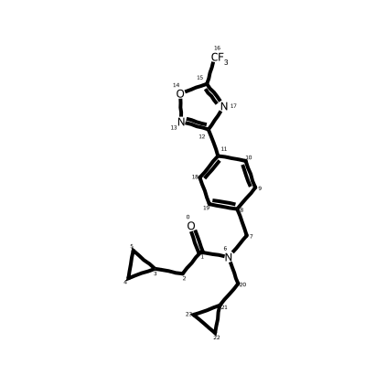 O=C(CC1CC1)N(Cc1ccc(-c2noc(C(F)(F)F)n2)cc1)CC1CC1